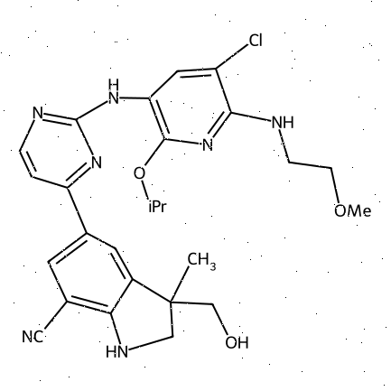 COCCNc1nc(OC(C)C)c(Nc2nccc(-c3cc(C#N)c4c(c3)C(C)(CO)CN4)n2)cc1Cl